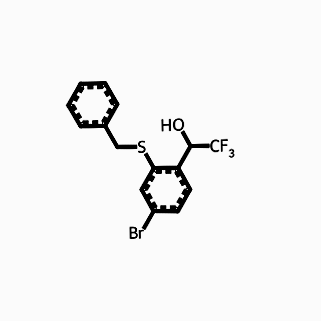 OC(c1ccc(Br)cc1SCc1ccccc1)C(F)(F)F